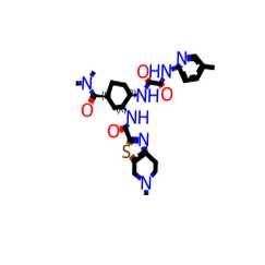 Cc1ccc(NC(=O)C(=O)N[C@@H]2CC[C@H](C(=O)N(C)C)C[C@H]2NC(=O)c2nc3c(s2)CN(C)CC3)nc1